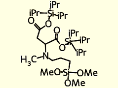 CO[Si](CCCN(C)C(CC(=O)O[Si](C(C)C)(C(C)C)C(C)C)C(=O)O[Si](C(C)C)(C(C)C)C(C)C)(OC)OC